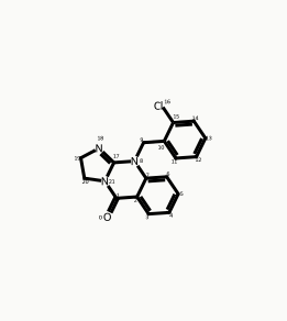 O=C1c2ccccc2N(Cc2ccccc2Cl)C2=NCCN12